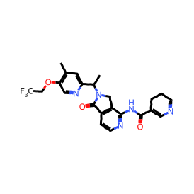 Cc1cc(C(C)N2Cc3c(ccnc3NC(=O)C3=CN=CCC3)C2=O)ncc1OCC(F)(F)F